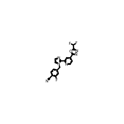 N#Cc1ccc(Cn2ccnc2-c2cc(-c3nnc(C(F)F)o3)ccn2)cc1F